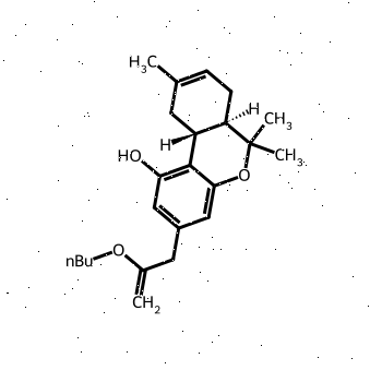 C=C(Cc1cc(O)c2c(c1)OC(C)(C)[C@@H]1CC=C(C)C[C@@H]21)OCCCC